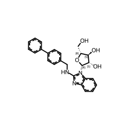 OC[C@H]1O[C@@H](n2c(NCc3ccc(-c4ccccc4)cc3)nc3ccccc32)[C@@H](O)[C@@H]1O